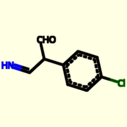 N=CC(C=O)c1ccc(Cl)cc1